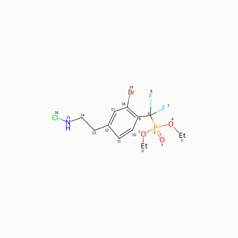 CCOP(=O)(OCC)C(F)(F)c1ccc(CCNCl)cc1Br